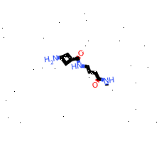 CNC(=O)CCCNC(=O)C1CC(N)C1